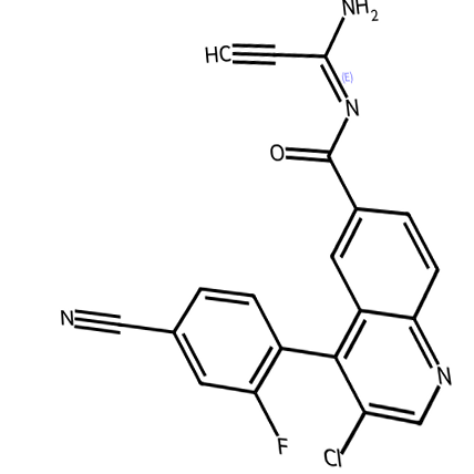 C#C/C(N)=N\C(=O)c1ccc2ncc(Cl)c(-c3ccc(C#N)cc3F)c2c1